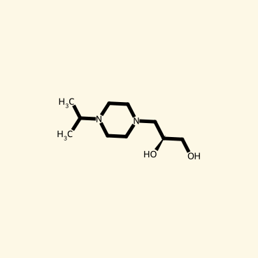 CC(C)N1CCN(C[C@H](O)CO)CC1